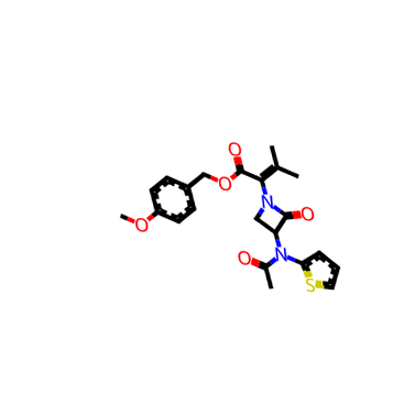 COc1ccc(COC(=O)C(=C(C)C)N2CC(N(C(C)=O)c3cccs3)C2=O)cc1